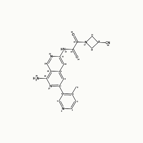 Cc1ccncc1-c1cc2cc(NC(=O)C(=O)N3CC(C#N)C3)ncc2c(N)n1